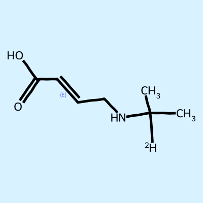 [2H]C(C)(C)NC/C=C/C(=O)O